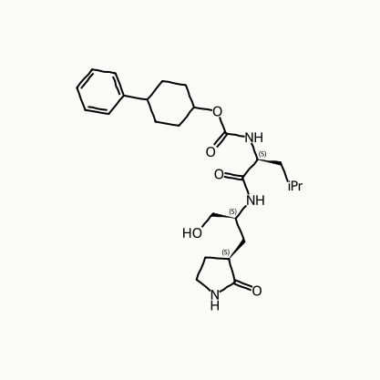 CC(C)C[C@H](NC(=O)OC1CCC(c2ccccc2)CC1)C(=O)N[C@H](CO)C[C@@H]1CCNC1=O